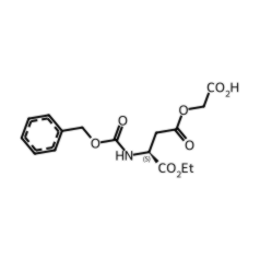 CCOC(=O)[C@H](CC(=O)OCC(=O)O)NC(=O)OCc1ccccc1